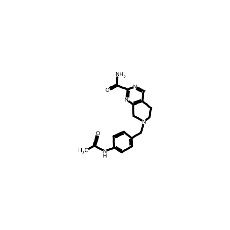 CC(=O)Nc1ccc(CN2CCc3[c]nc(C(N)=O)nc3C2)cc1